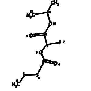 CCSC(=O)OC(I)C(=O)OC(C)C